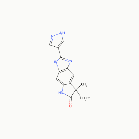 CCOC(=O)C1(C)C(=O)Nc2cc3[nH]c(-c4cn[nH]c4)nc3cc21